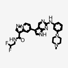 CN1CCN(c2cccc(Nc3ncc4c(-c5ccn6ncc(C(=O)NCC(F)F)c6c5)c[nH]c4n3)c2)CC1